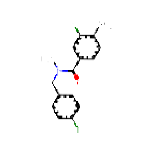 CN(Cc1ccc(F)cc1)C(=O)c1ccc([N+](=O)[O-])c(F)c1